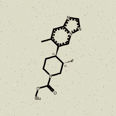 Cc1cc2ncnn2cc1[C@@H]1CCN(C(=O)OC(C)(C)C)C[C@H]1F